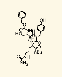 [CH2]CC[CH]C(=O)[C@@H](CCCNC(N)=O)NC(=O)[C@H](Cc1ccc(O)cc1)NC(=O)[C@H](CO)NC(=O)OCc1ccccc1